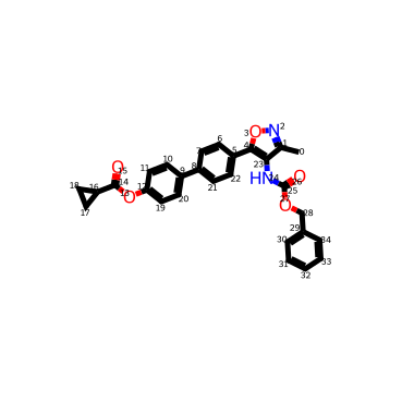 Cc1noc(-c2ccc(-c3ccc(OC(=O)C4CC4)cc3)cc2)c1NC(=O)OCc1ccccc1